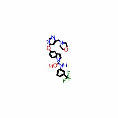 OC(Nc1cccc(C(F)(F)F)c1)n1ccc2cc(Oc3cc(CN4CCOCC4)ncn3)ccc21